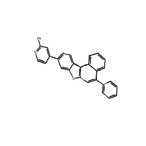 N#Cc1cc(-c2ccc3c(c2)oc2cc(-c4ccccc4)c4ccccc4c23)ccn1